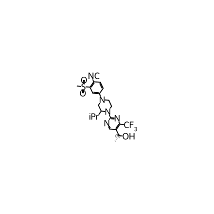 CC(C)C1CN(c2ccc(C#N)c(S(C)(=O)=O)c2)CCN1c1ncc([C@@H](C)O)c(C(F)(F)F)n1